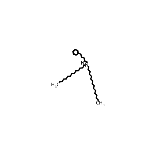 CCCCCCCCCCCCCCCCn1cc(CCCc2ccccc2)nc1CCCCCCCCCCCCC